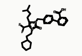 CC(C)CCc1c(C(F)F)n(CCC2CCCCC2)c(=O)n1Cc1ccc(-c2ccccc2C(=O)O)cc1